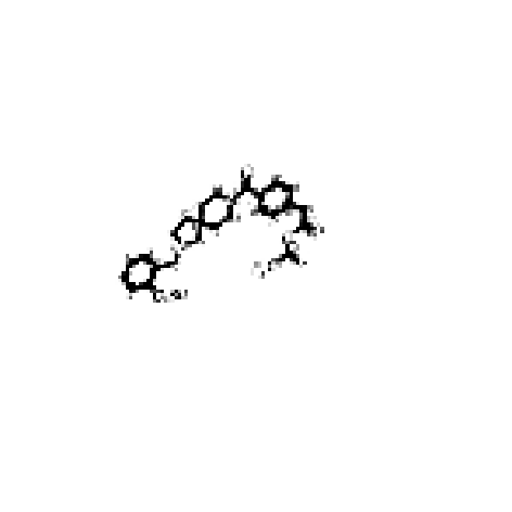 CC(C)COc1ccccc1CN1CCC2(CCN(C(=O)c3ccc(CC(=O)OC(=O)C(F)(F)F)cc3)CC2)C1